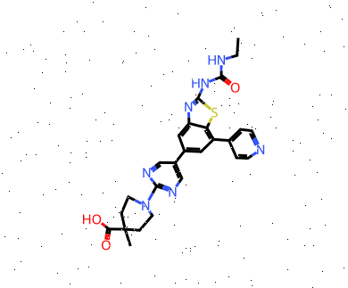 CCNC(=O)Nc1nc2cc(-c3cnc(N4CCC(C)(C(=O)O)CC4)nc3)cc(-c3ccncc3)c2s1